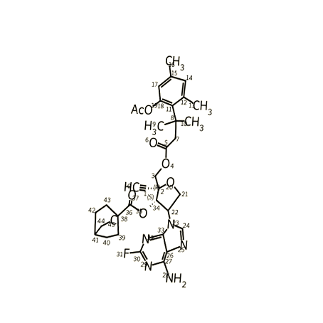 C#C[C@]1(COC(=O)CC(C)(C)c2c(C)cc(C)cc2OC(C)=O)OCC(n2cnc3c(N)nc(F)nc32)[C@@H]1OC(=O)C12CCC(CC1)CC2